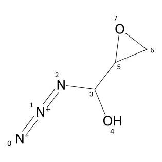 [N-]=[N+]=NC(O)C1CO1